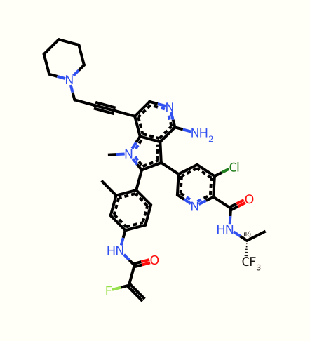 C=C(F)C(=O)Nc1ccc(-c2c(-c3cnc(C(=O)N[C@H](C)C(F)(F)F)c(Cl)c3)c3c(N)ncc(C#CCN4CCCCC4)c3n2C)c(C)c1